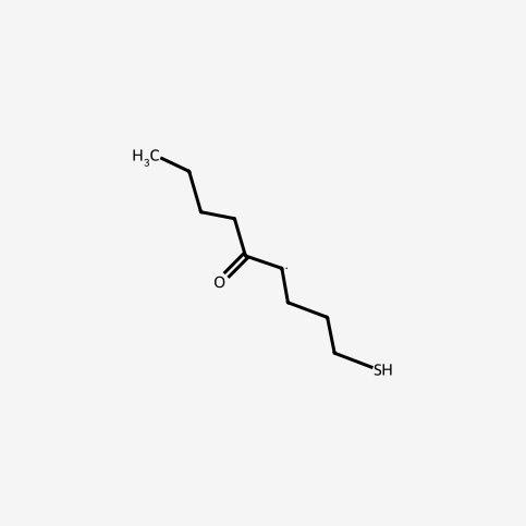 CCCCC(=O)[CH]CCCS